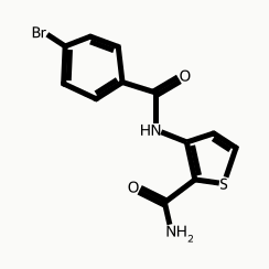 NC(=O)c1sccc1NC(=O)c1ccc(Br)cc1